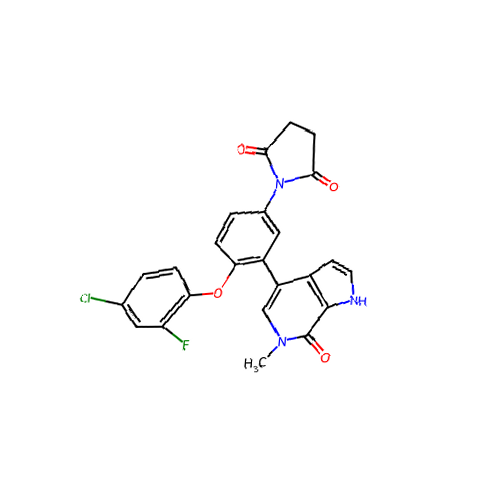 Cn1cc(-c2cc(N3C(=O)CCC3=O)ccc2Oc2ccc(Cl)cc2F)c2cc[nH]c2c1=O